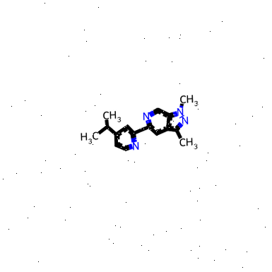 Cc1nn(C)c2cnc(-c3cc(C(C)C)ccn3)cc12